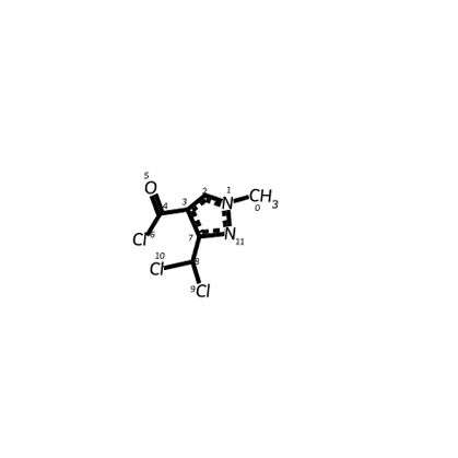 Cn1cc(C(=O)Cl)c(C(Cl)Cl)n1